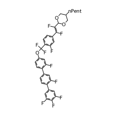 CCCCCC1COC(/C(F)=C(\F)c2ccc(C(F)(F)Oc3ccc(-c4ccc(-c5cc(F)c(F)c(F)c5)c(F)c4)c(F)c3)c(F)c2)OC1